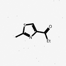 [CH2]c1nc(C(=O)CC)cs1